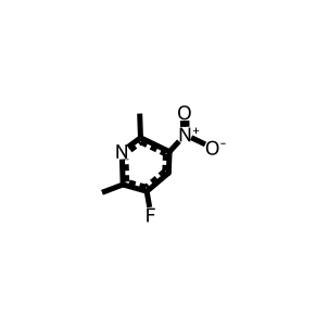 Cc1nc(C)c([N+](=O)[O-])cc1F